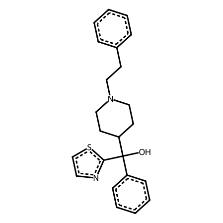 OC(c1ccccc1)(c1nccs1)C1CCN(CCc2ccccc2)CC1